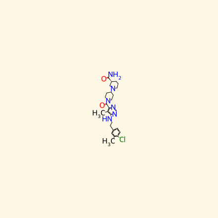 Cc1cc(CCNc2ncnc(C(=O)N3CCC(N4CCC[C@H](C(N)=O)C4)CC3)c2C)ccc1Cl